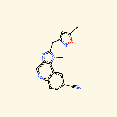 Cc1cc(Cc2nc3cnc4ccc(C#N)cc4c3n2C)no1